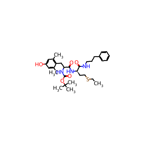 CCSCC[C@@H](NC(=O)C(Cc1c(C)cc(O)cc1C)NC(=O)OC(C)(C)C)C(=O)NCCCc1ccccc1